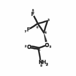 NC(=O)O[C@H]1CC1(F)F